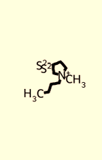 CCCC[N+]1(C)CCCC1.[S-2].[S-2]